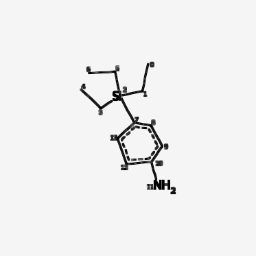 CC[Si](CC)(CC)c1ccc(N)cc1